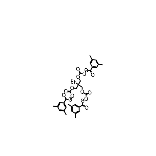 CCC(COC(=O)OOC(=O)c1cc(C)cc(C)c1)(COC(=O)OOC(=O)c1cc(C)cc(C)c1)COC(=O)OOC(=O)c1cc(C)cc(C)c1